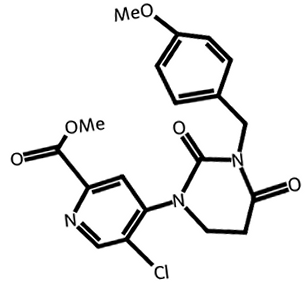 COC(=O)c1cc(N2CCC(=O)N(Cc3ccc(OC)cc3)C2=O)c(Cl)cn1